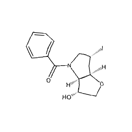 O=C(c1ccccc1)N1C[C@H](I)[C@H]2OC[C@H](O)[C@H]21